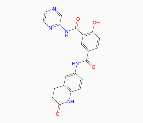 O=C1CCc2cc(NC(=O)c3ccc(O)c(C(=O)Nc4cnccn4)c3)ccc2N1